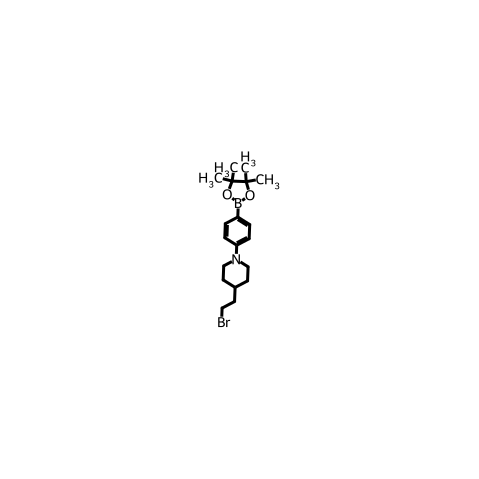 CC1(C)OB(c2ccc(N3CCC(CCBr)CC3)cc2)OC1(C)C